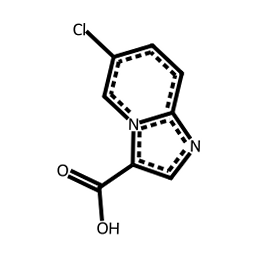 O=C(O)c1cnc2ccc(Cl)cn12